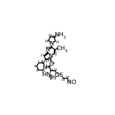 Cc1cn2nc([C@@H]3CCCCN3C(=O)C(COSCCN=O)NC(C)C)cc2nc1N1CC[C@H](N)C1